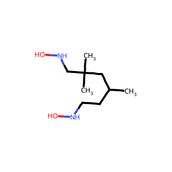 CC(CCNO)CC(C)(C)CNO